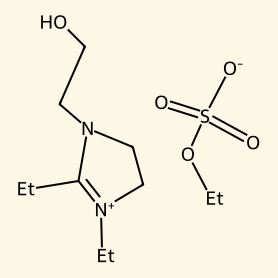 CCC1=[N+](CC)CCN1CCO.CCOS(=O)(=O)[O-]